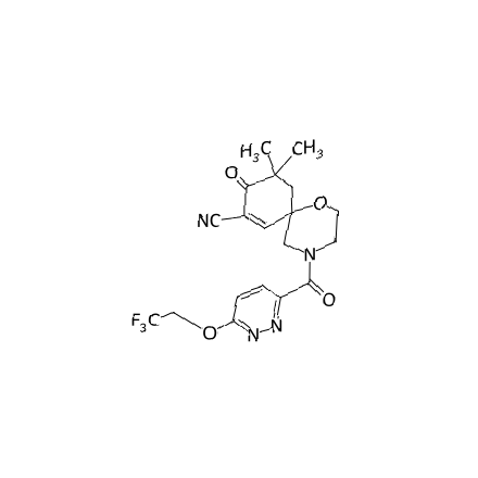 CC1(C)CC2(C=C(C#N)C1=O)CN(C(=O)c1ccc(OCC(F)(F)F)nn1)CCO2